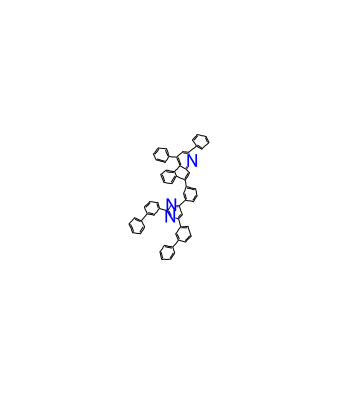 c1ccc(-c2cccc(-c3cc(-c4cccc(-c5cc6nc(-c7ccccc7)cc(-c7ccccc7)c6c6ccccc56)c4)nc(-c4cccc(-c5ccccc5)c4)n3)c2)cc1